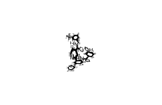 O=C(NCc1cccc(C(F)(F)F)c1)c1ccnc(-c2cc(N3CCCCC3)ccc2NC(=O)c2cccc(O)c2)c1